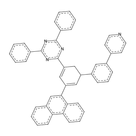 C1=C(c2nc(-c3ccccc3)nc(-c3ccccc3)n2)CC(c2cccc(-c3ccncc3)c2)C=C1c1cc2ccccc2c2ccccc12